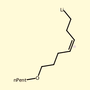 [Li][CH2]C/C=C\CCCOCCCCC